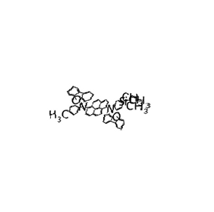 Cc1ccc(N(c2ccc3ccc4c(N(c5ccc([Si](C)(C)C)cc5)c5cccc6c5oc5ccccc56)ccc5ccc2c3c54)c2cccc3c2oc2ccccc23)cc1